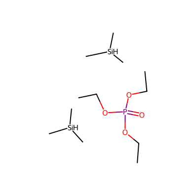 CCOP(=O)(OCC)OCC.C[SiH](C)C.C[SiH](C)C